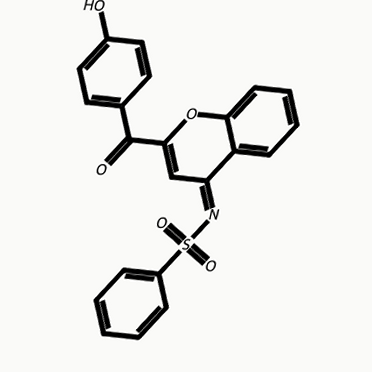 O=C(c1ccc(O)cc1)c1cc(=NS(=O)(=O)c2ccccc2)c2ccccc2o1